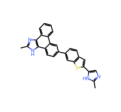 Cc1ncc(-c2cc3ccc(-c4ccc5c(c4)c4ccccc4c4nc(C)[nH]c54)cc3s2)[nH]1